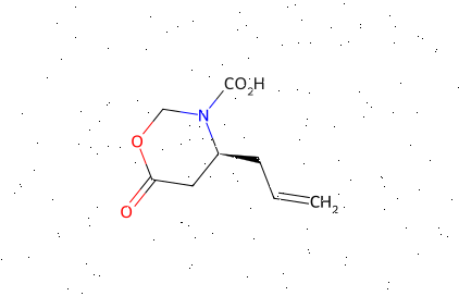 C=CC[C@H]1CC(=O)OCN1C(=O)O